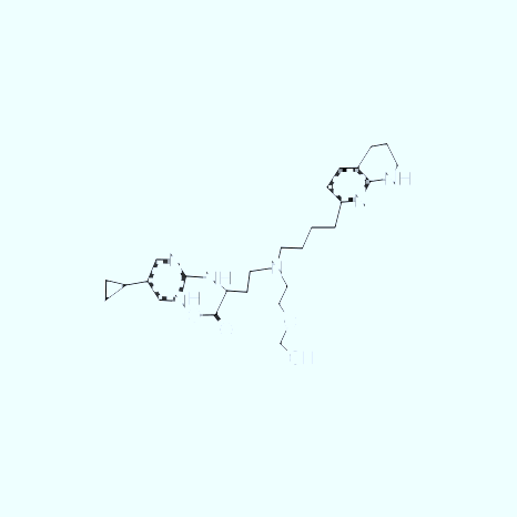 CCOCCN(CCCCc1ccc2c(n1)NCCC2)CCC(Nc1ncc(C2CC2)cn1)C(=O)O